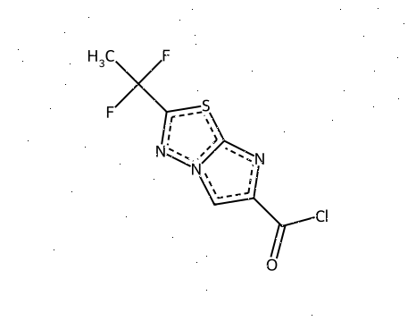 CC(F)(F)c1nn2cc(C(=O)Cl)nc2s1